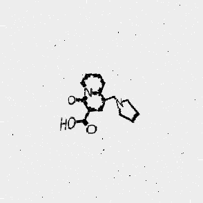 O=C(O)c1cc(CN2CCCC2)c2ccccn2c1=O